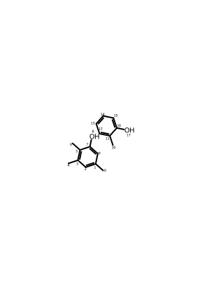 Cc1cc(C)c(C)c(O)c1.Cc1ccccc1O